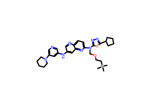 C[Si](C)(C)CCOCN(c1ccc2ncc(Nc3cncc(N4CCCCC4)c3)cc2n1)c1nnc(C2CCCC2)s1